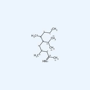 CCCC(C)C(CC(C)CC(C)=N)C(C)C